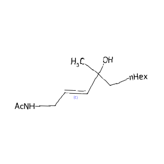 CCCCCCCC(C)(O)/C=C/CNC(C)=O